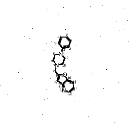 c1ccc(N2CCN(Cc3cc4ncccc4o3)CC2)cc1